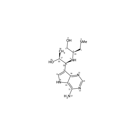 CSC[C@H](CO)N[C@@H](c1c[nH]c2c(N)ncnc12)[C@H](C)O